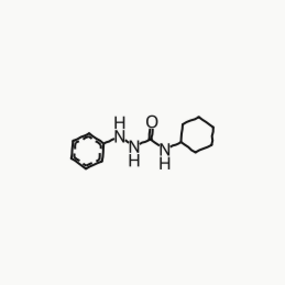 O=C(NNc1ccccc1)NC1CCCCC1